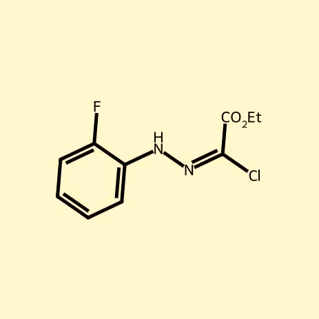 CCOC(=O)/C(Cl)=N\Nc1ccccc1F